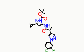 CC(C(=O)Nc1cc(C2CC2)nn1C(=O)OC(C)(C)C)c1cnn(-c2ccc(F)c(F)c2)c1